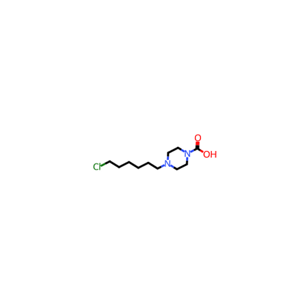 O=C(O)N1CCN(CCCCCCCl)CC1